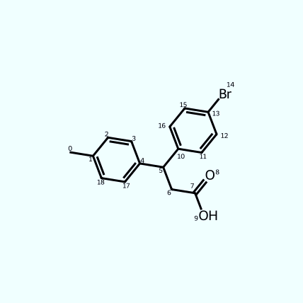 Cc1ccc(C(CC(=O)O)c2ccc(Br)cc2)cc1